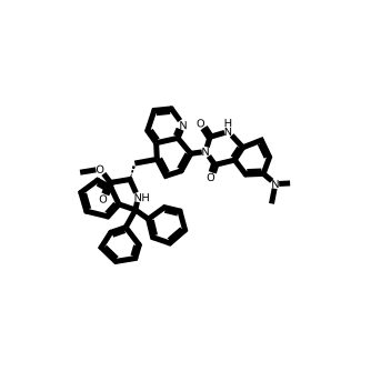 COC(=O)[C@H](Cc1ccc(-n2c(=O)[nH]c3ccc(N(C)C)cc3c2=O)c2ncccc12)NC(c1ccccc1)(c1ccccc1)c1ccccc1